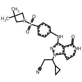 CC1(C)CN(S(=O)(=O)c2ccc(Nc3nn(C(CC#N)C4CC4)c4cc[nH]c(=O)c34)cc2)C1